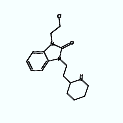 O=c1n(CCCl)c2ccccc2n1CCC1CCCCN1